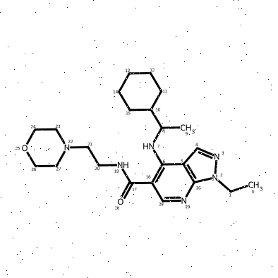 CCn1ncc2c(NC(C)C3CCCCC3)c(C(=O)NCCN3CCOCC3)cnc21